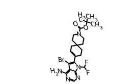 CC(C)(C)OC(=O)N1CCC2(CC=C(c3c(Br)c4c(N)ncnc4n3C(F)F)CC2)CC1